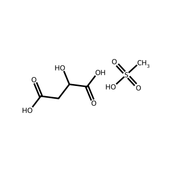 CS(=O)(=O)O.O=C(O)CC(O)C(=O)O